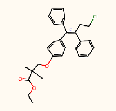 CCOC(=O)C(C)(C)COc1ccc(/C(=C(/CCCl)c2ccccc2)c2ccccc2)cc1